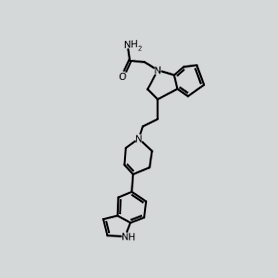 NC(=O)CN1CC(CCN2CC=C(c3ccc4[nH]ccc4c3)CC2)c2ccccc21